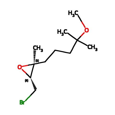 COC(C)(C)CCC[C@]1(C)O[C@H]1CBr